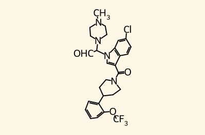 CN1CCN(C(C=O)n2cc(C(=O)N3CCC(c4ccccc4OC(F)(F)F)CC3)c3ccc(Cl)cc32)CC1